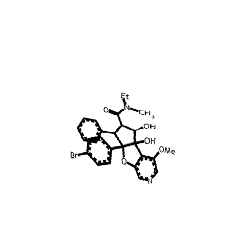 CCN(C)C(=O)C1C(c2ccccc2)C2(c3ccc(Br)cc3)Oc3cncc(OC)c3C2(O)[C@@H]1O